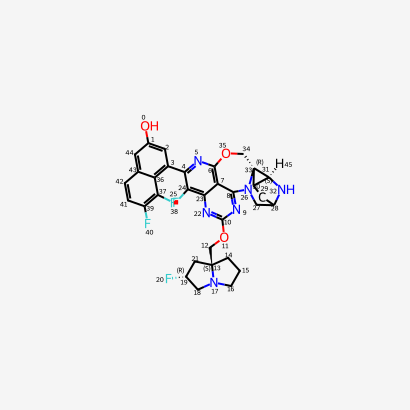 Oc1cc(-c2nc3c4c(nc(OC[C@@]56CCCN5C[C@H](F)C6)nc4c2F)N2CC4CC5[C@H](N4)[C@@]52CO3)c2c(F)c(F)ccc2c1